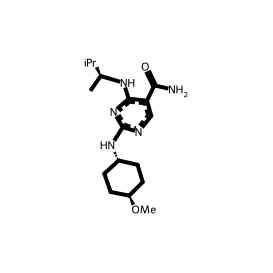 CO[C@H]1CC[C@H](Nc2ncc(C(N)=O)c(N[C@@H](C)C(C)C)n2)CC1